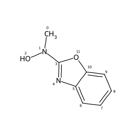 CN(O)c1nc2ccccc2o1